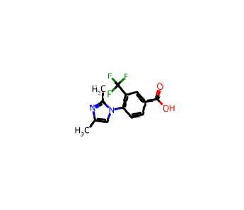 Cc1cn(-c2ccc(C(=O)O)cc2C(F)(F)F)c(C)n1